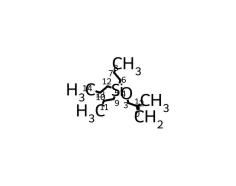 C=C(C)CO[Si](CCC)(CCC)CCC